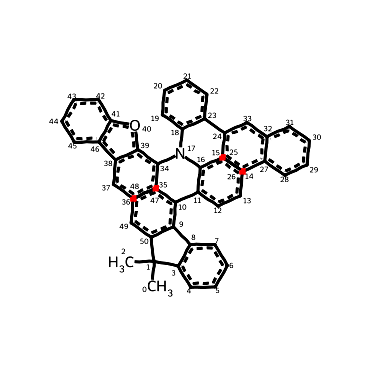 CC1(C)c2ccccc2-c2c(-c3ccccc3N(c3ccccc3-c3ccc4ccccc4c3)c3cccc4c3oc3ccccc34)cccc21